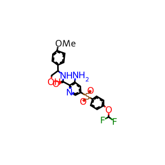 COc1ccc(C(CO)NC(=O)c2ncc(S(=O)(=O)c3ccc(OC(F)F)cc3)cc2N)cc1